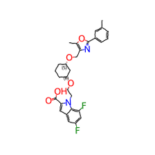 Cc1cccc(-c2nc(CO[C@H]3CCC[C@@H](OCCn4c(C(=O)O)cc5cc(F)cc(F)c54)C3)c(C)o2)c1